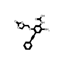 Nc1cc(C#Cc2ccccc2)c(OCC2COC(=O)O2)cc1NC(=O)O